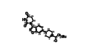 CC(C)(C)OC(=O)N1CCN(c2ccc3c(N4CCC(=O)NC4=O)noc3c2)CC1